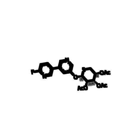 CC(=O)O[C@@H]1[C@@H](OC(C)=O)[C@@H](Oc2cncc(-c3ccc(F)nc3)c2)SC[C@H]1OC(C)=O